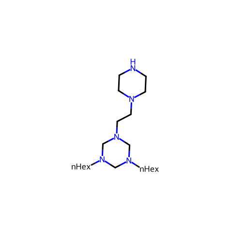 CCCCCCN1CN(CCCCCC)CN(CCN2CCNCC2)C1